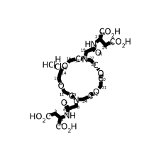 Cl.Cl.O=C(O)CC(NC(=O)CN1CCOCCOCCN(CC(=O)NC(CC(=O)O)C(=O)O)CCOCCOCC1)C(=O)O